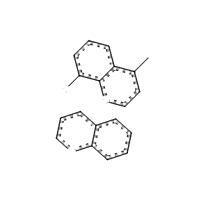 Cc1ccnc2c(N)cccc12.c1ccc2ncccc2c1